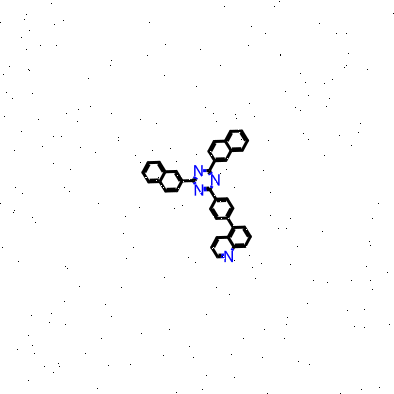 c1ccc2cc(-c3nc(-c4ccc(-c5cccc6ncccc56)cc4)nc(-c4ccc5ccccc5c4)n3)ccc2c1